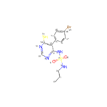 CCCNS(=O)(=O)Nc1ncnc(S)c1-c1ccc(Br)cc1